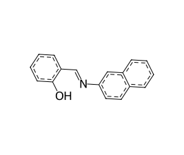 Oc1ccccc1C=Nc1ccc2ccccc2c1